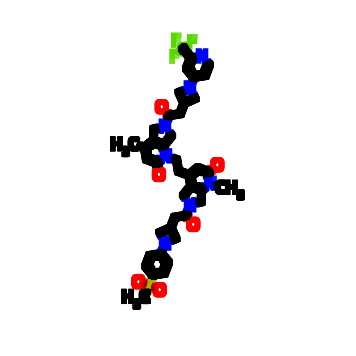 Cc1cc(=O)n(CCc2cc(=O)n(C)c3c2CN(C(=O)CC2CN(c4ccc(S(C)(=O)=O)cc4)C2)C3)c2c1CN(C(=O)CC1CN(c3ccnc(C(F)(F)F)c3)C1)C2